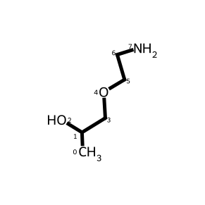 CC(O)COCCN